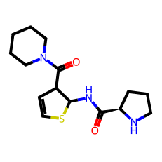 O=C(NC1SC=CC1C(=O)N1CCCCC1)[C@H]1CCCN1